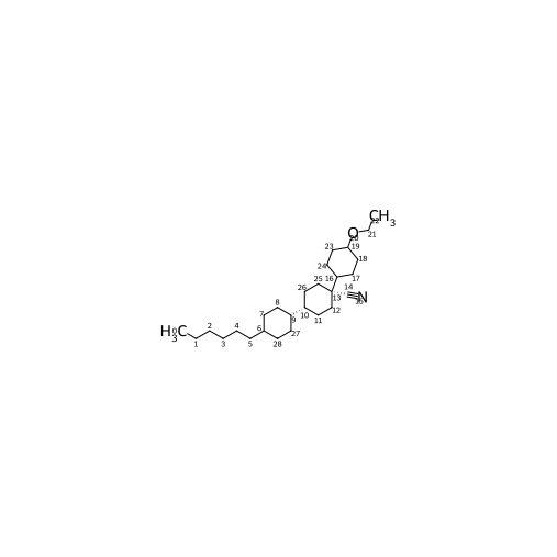 CCCCCCC1CCC([C@H]2CC[C@](C#N)(C3CCC(OCC)CC3)CC2)CC1